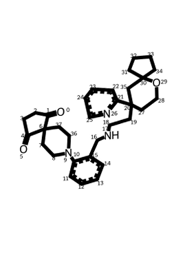 O=C1CCC(=O)C12CCN(c1ccccc1CNCCC1(c3ccccn3)CCOC3(CCCC3)C1)CC2